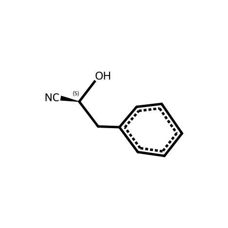 N#C[C@@H](O)Cc1ccccc1